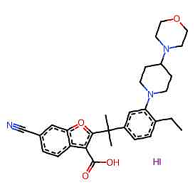 CCc1ccc(C(C)(C)c2oc3cc(C#N)ccc3c2C(=O)O)cc1N1CCC(N2CCOCC2)CC1.I